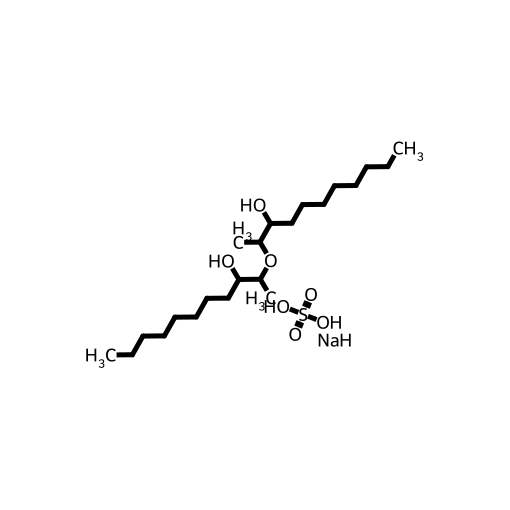 CCCCCCCCC(O)C(C)OC(C)C(O)CCCCCCCC.O=S(=O)(O)O.[NaH]